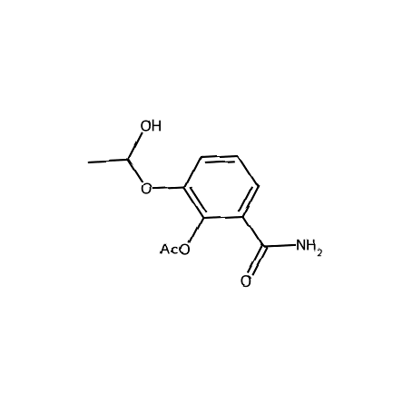 CC(=O)Oc1c(OC(C)O)cccc1C(N)=O